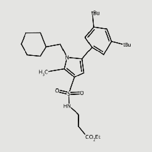 CCOC(=O)CCNS(=O)(=O)c1cc(-c2cc(C(C)(C)C)cc(C(C)(C)C)c2)n(CC2CCCCC2)c1C